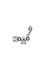 O=C(Nc1cccc(OCCCN2CCOCC2)c1)Nc1ccc(O)c(O)c1